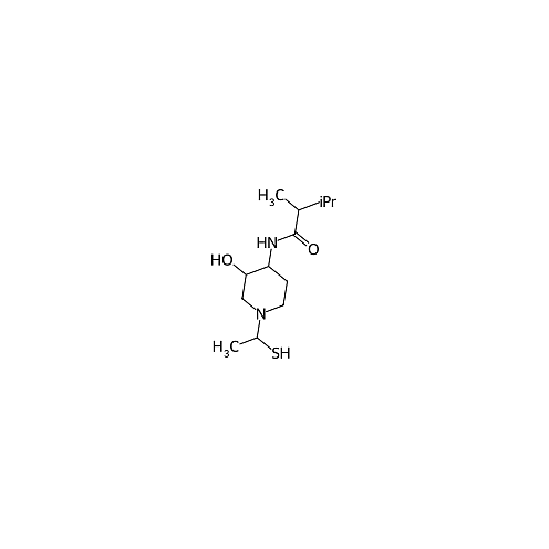 CC(C)C(C)C(=O)NC1CCN(C(C)S)CC1O